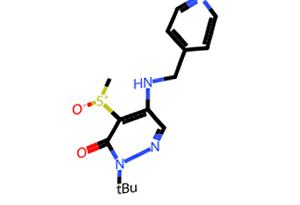 C[S+]([O-])c1c(NCc2ccncc2)cnn(C(C)(C)C)c1=O